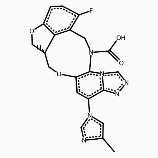 Cc1cn(-c2cc3c(n4cnnc24)N(C(=O)O)Cc2c(F)ccc4c2[C@@H](CO4)CO3)cn1